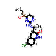 CC(C)C[S@+]([O-])c1ccnc(N[C@@H](C)c2cc3cc(Cl)ccc3[nH]c2=O)n1